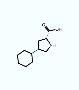 O=C(O)[C@H]1C[C@@H](C2CCCCC2)CN1